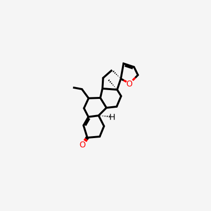 CCC1CC2=CC(=O)CC[C@@H]2C2CC[C@@]3(C)C(CC[C@@]34C=CCO4)C12